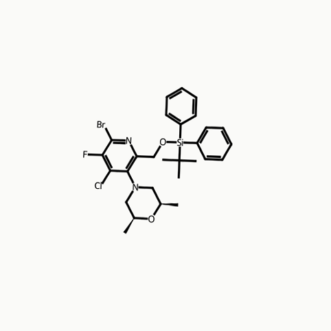 C[C@@H]1CN(c2c(CO[Si](c3ccccc3)(c3ccccc3)C(C)(C)C)nc(Br)c(F)c2Cl)C[C@H](C)O1